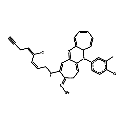 C#CC/C=C(Cl)\C=C/CNC1=CC2=NC3=CC=CC=CC3N(c3ccc(Cl)c(C)c3)C2=CCC1=NC(C)C